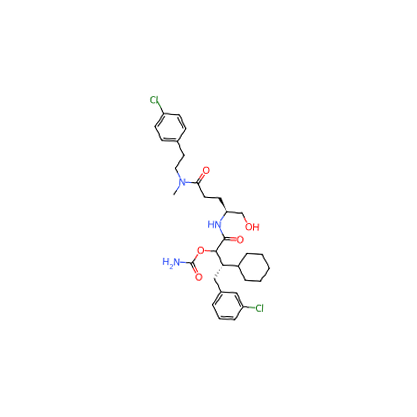 CN(CCc1ccc(Cl)cc1)C(=O)CC[C@@H](CO)NC(=O)C(OC(N)=O)[C@@H](Cc1cccc(Cl)c1)C1CCCCC1